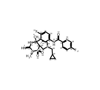 CN1C(=N)N[C@](C)(C2CC(NC(=O)c3ccc(F)cn3)=CC=C2F)[C@]2(CCN(CC3CC3)C2)S1(=O)=O